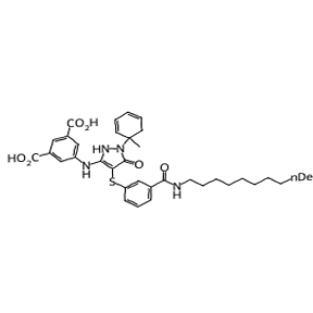 CCCCCCCCCCCCCCCCCCNC(=O)c1cccc(Sc2c(Nc3cc(C(=O)O)cc(C(=O)O)c3)[nH]n(C3(C)C=CC=CC3)c2=O)c1